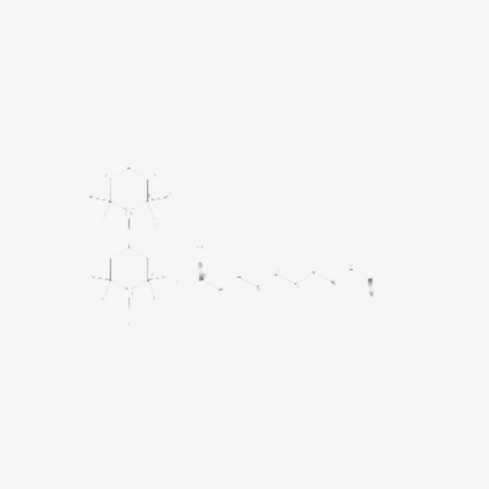 CC1(C)CCCC(C)(C)N1O.CC1(C)CCCC(C)(C)N1O.O=C(O)CCCCCCCCC(=O)O